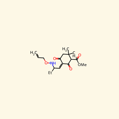 C=CCONC(C=C1C(=O)CC(C)(C)C(C(=O)OC)C1=O)CC